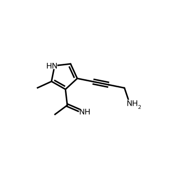 CC(=N)c1c(C#CCN)c[nH]c1C